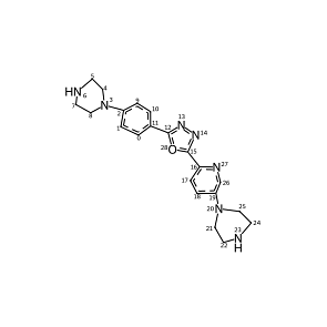 c1cc(N2CCNCC2)ccc1-c1nnc(-c2ccc(N3CCNCC3)cn2)o1